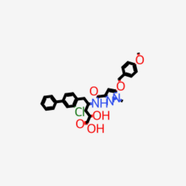 COc1ccc(COc2cc(C(=O)NC(Cc3ccc(-c4ccccc4)cc3Cl)CC(O)C(=O)O)nn2C)cc1